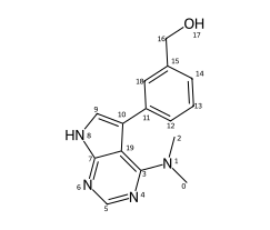 CN(C)c1ncnc2[nH]cc(-c3cccc(CO)c3)c12